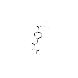 COC(=O)C(C)C(=O)Cc1ccc(C(=O)N(SC)SC)cc1